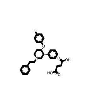 Fc1ccc(O[C@H]2CCN(CCc3ccccc3)C[C@@H]2c2ccccc2)cc1.O=C(O)/C=C/C(=O)O